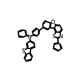 c1ccc(-c2nc3ccc4oc5ccc(-c6ccc(N(c7ccccc7)c7ccc8c(c7)sc7ccccc78)cc6)cc5c4c3s2)cc1